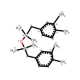 Cc1ccc(C[Si](C)(C)O[Si](C)(C)Cc2ccc(C)c(C)c2)cc1C